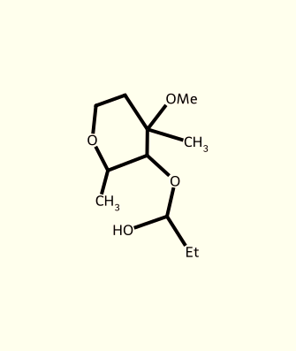 CCC(O)OC1C(C)OCCC1(C)OC